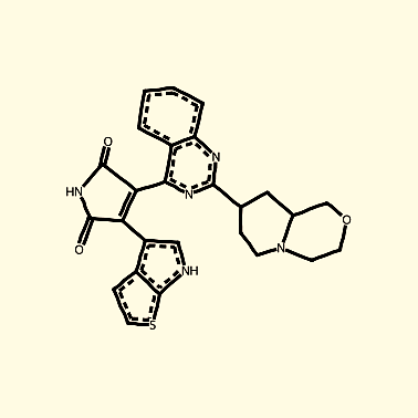 O=C1NC(=O)C(c2c[nH]c3sccc23)=C1c1nc(C2CCN3CCOCC3C2)nc2ccccc12